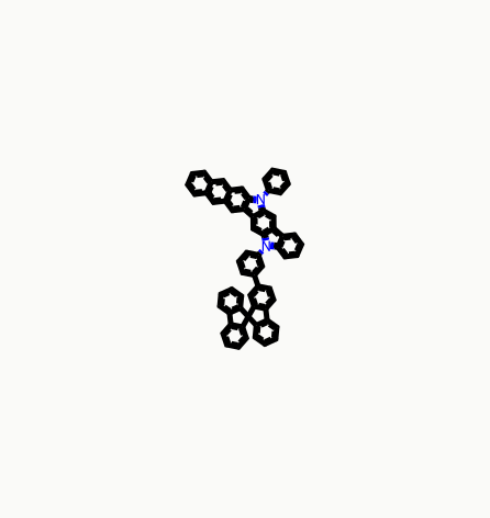 c1ccc(-n2c3cc4cc5ccccc5cc4cc3c3cc4c(cc32)c2ccccc2n4-c2cccc(-c3ccc4c(c3)C3(c5ccccc5-c5ccccc53)c3ccccc3-4)c2)cc1